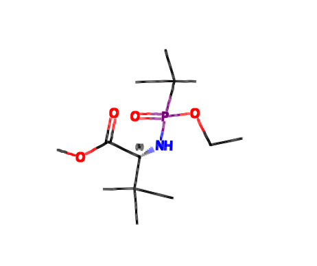 CCOP(=O)(N[C@@H](C(=O)OC)C(C)(C)C)C(C)(C)C